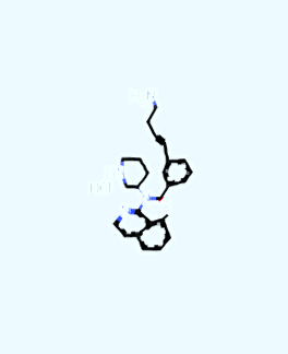 Cc1cccc2ccnc(N(C(=O)c3cccc(C#CCCN)c3)[C@@H]3CCCNC3)c12.Cl